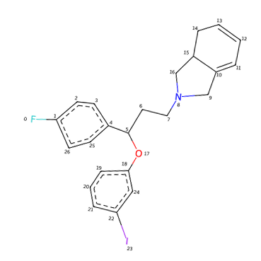 Fc1ccc(C(CCN2CC3=CC=CCC3C2)Oc2cccc(I)c2)cc1